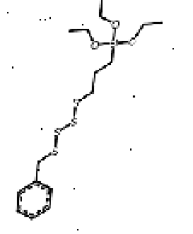 CCO[Si](CCCSSSSCc1ccccc1)(OCC)OCC